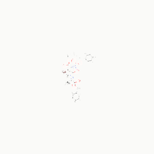 CCOC(=O)C(NC(=O)OCc1ccccc1)[C@]1(Br)C(=O)N2[C@@H](C(=O)OCc3ccccc3)C(C)(C)S[C@@H]21